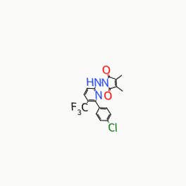 CC1=C(C)C(=O)N(Nc2ccc(C(F)(F)F)c(-c3ccc(Cl)cc3)n2)C1=O